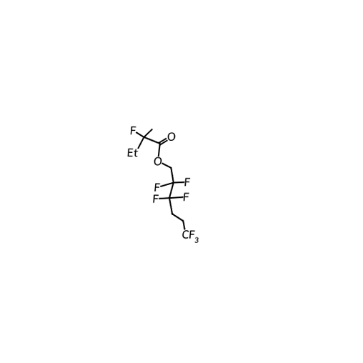 CCC(C)(F)C(=O)OCC(F)(F)C(F)(F)CCC(F)(F)F